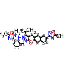 Cc1nc(-c2cccc(Cn3[nH]c(C(C)C)c(Cc4ccc5ccc(-c6noc(C)n6)cc5c4)c3=O)c2)no1